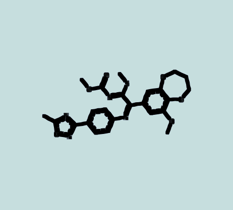 COC(=O)/N=C(SC)/C(=N\c1ccc(-c2noc(C)n2)cc1)c1cc(OC)c2c(c1)OCCCO2